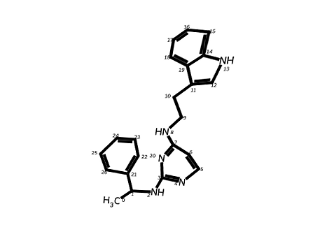 CC(Nc1nccc(NCCc2c[nH]c3ccccc23)n1)c1ccccc1